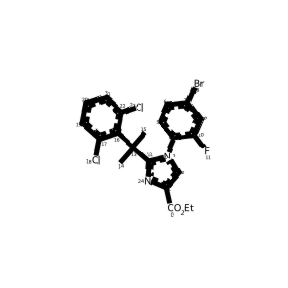 CCOC(=O)c1cn(-c2ccc(Br)cc2F)c(C(C)(C)c2c(Cl)cccc2Cl)n1